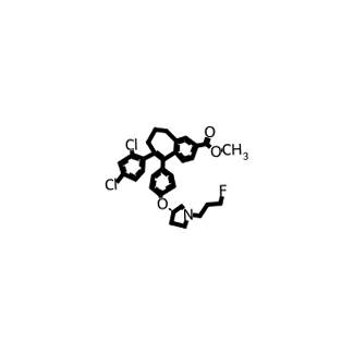 COC(=O)c1ccc2c(c1)CCCC(c1ccc(Cl)cc1Cl)=C2c1ccc(O[C@H]2CCN(CCCF)C2)cc1